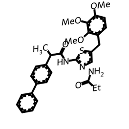 CCC(N)=O.COc1ccc(Cc2cnc(NC(=O)C(C)c3ccc(-c4ccccc4)cc3)s2)c(OC)c1OC